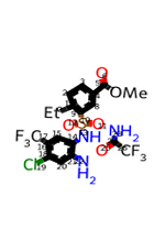 CCc1ccc(C(=O)OC)cc1S(=O)(=O)Nc1cc(C(F)(F)F)c(Cl)cc1N.NC(=O)C(F)(F)F